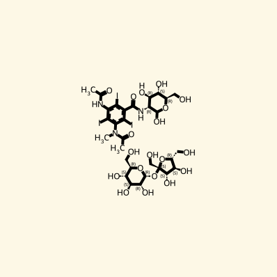 CC(=O)Nc1c(I)c(C(=O)N[C@H]2C(O)O[C@H](CO)[C@@H](O)[C@@H]2O)c(I)c(N(C)C(C)=O)c1I.OC[C@H]1O[C@@](CO)(O[C@H]2O[C@H](CO)[C@@H](O)[C@H](O)[C@H]2O)[C@@H](O)[C@@H]1O